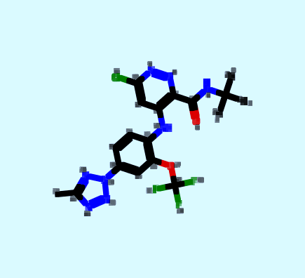 [2H]C([2H])([2H])NC(=O)c1nnc(Cl)cc1Nc1ccc(-n2nnc(C)n2)cc1OC(F)(F)F